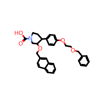 O=C(O)N1CCC(c2ccc(OCCOCc3ccccc3)cc2)C(OCc2ccc3ccccc3c2)C1